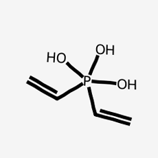 C=CP(O)(O)(O)C=C